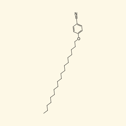 CCCCCCCCCCCCCCCCCCCOc1ccc(C#N)cc1